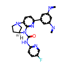 C=Nc1cc(N=C)cc(-c2ccc3c(n2)N(C(=O)Nc2ccc(F)cn2)[C@H]2CCN3C2)c1